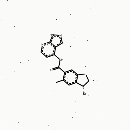 Cc1cc2c(cc1C(=O)Nc1ccnc3[nH]ncc13)SC[C@@H]2N